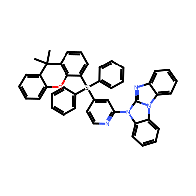 CC1(C)c2ccccc2Oc2c1cccc2[Si](c1ccccc1)(c1ccccc1)c1ccnc(-n2c3ccccc3n3c4ccccc4nc23)c1